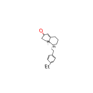 CCc1ccc(CC[C@H]2CCCC3=CC(=O)CC[C@@]32C)cc1